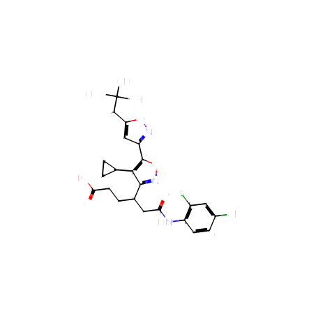 CC(C)(C)Cc1cc(-c2onc(C(CCC(=O)O)CC(=O)Nc3ccc(Cl)cc3Cl)c2C2CC2)no1